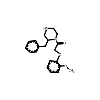 COc1ccccc1OCC(=O)N1CCNCC1Cc1ccccc1